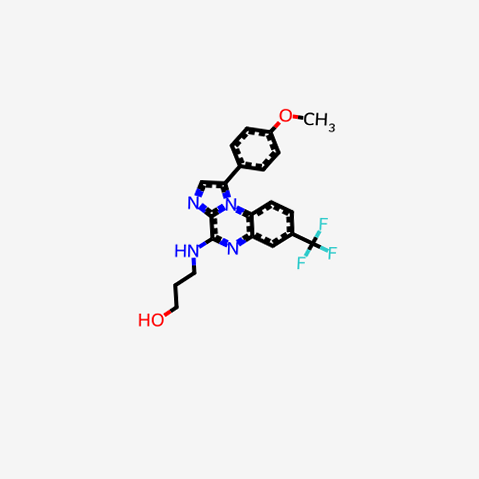 COc1ccc(-c2cnc3c(NCCCO)nc4cc(C(F)(F)F)ccc4n23)cc1